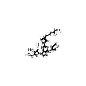 NC(=O)CCCc1cnn(-c2nc(N[C@@H]3CCOC3)c3ncn([C@@H]4O[C@H](CO)[C@@H](O)[C@@H]4O)c3n2)c1